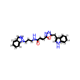 O=C(C=Cc1nnc(Cc2c[nH]c3ccccc23)o1)NCCCn1ncc2ccccc21